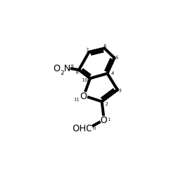 O=COc1cc2cccc([N+](=O)[O-])c2o1